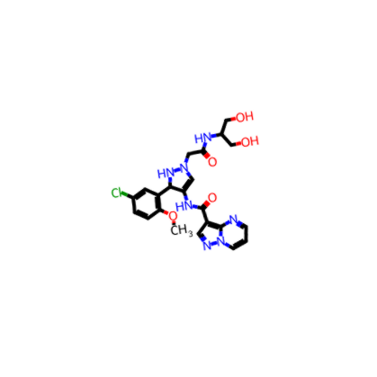 COc1ccc(Cl)cc1C1NN(CC(=O)NC(CO)CO)C=C1NC(=O)c1cnn2cccnc12